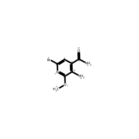 COc1nc(Br)cc(C(N)=O)c1N